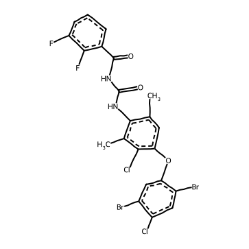 Cc1cc(Oc2cc(Br)c(Cl)cc2Br)c(Cl)c(C)c1NC(=O)NC(=O)c1cccc(F)c1F